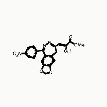 COC(=O)C(O)=CC1=NN=C(c2ccc([N+](=O)[O-])cc2)c2cc3c(cc2C1)OCO3